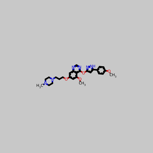 COc1ccc(-c2cc(Oc3ncnc4cc(OCCCN5CCN(C)CC5)cc(OC)c34)n[nH]2)cc1